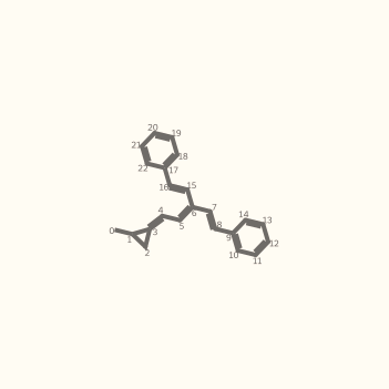 CC1CC1=CC=C(C=Cc1ccccc1)C=Cc1ccccc1